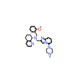 COc1ccccc1CN(Cc1cn2c(N3CCN(C)CC3)cccc2n1)[C@H]1CCCc2cccnc21